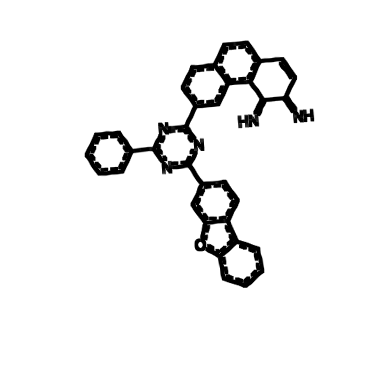 N=C1C=Cc2ccc3ccc(-c4nc(-c5ccccc5)nc(-c5ccc6c(c5)oc5ccccc56)n4)cc3c2C1=N